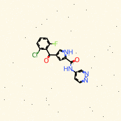 O=C(Nc1ccnnc1)c1cc(C(=O)c2c(F)cccc2Cl)c[nH]1